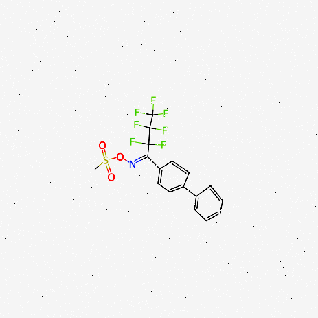 CS(=O)(=O)ON=C(c1ccc(-c2ccccc2)cc1)C(F)(F)C(F)(F)C(F)(F)F